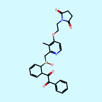 Cc1c(OCCN2C(=O)CCC2=O)ccnc1C[S+]([O-])C1C=CC=CC1C(=O)C(=O)c1ccccc1